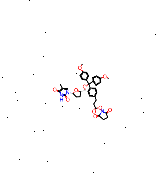 COc1ccc(C(OC[C@@H]2CC[C@H](n3cc(C)c(=O)[nH]c3=O)O2)(c2ccc(CCC(=O)ON3C(=O)CCC3=O)cc2)c2ccc(OC)cc2)cc1